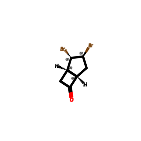 O=C1C[C@H]2[C@H](Br)[C@@H](Br)C[C@@H]12